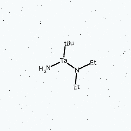 CC[N](CC)[Ta]([NH2])[C](C)(C)C